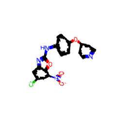 O=[N+]([O-])c1cc(Cl)cc2nc(Nc3ccc(Oc4ccncc4)cc3)oc12